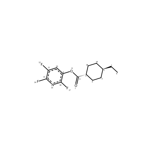 CC[C@H]1CC[C@H](C(=O)Oc2cc(F)c(F)nc2F)CC1